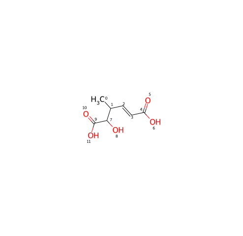 CC(/C=C/C(=O)O)C(O)C(=O)O